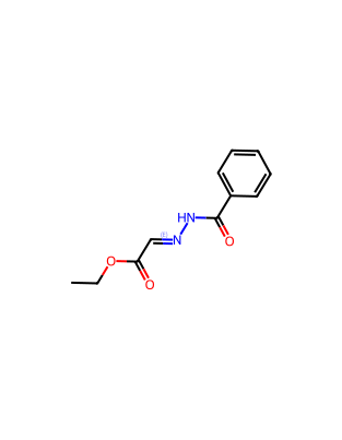 CCOC(=O)/C=N/NC(=O)c1ccccc1